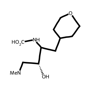 CNC[C@@H](O)C(CC1CCOCC1)NC(=O)O